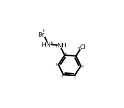 Clc1ccccc1NNBr